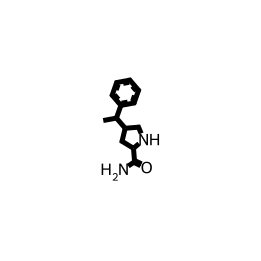 CC(c1ccccc1)C1CNC(C(N)=O)C1